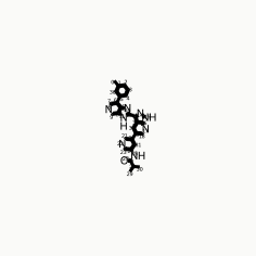 Cc1cccc(-c2cncc3[nH]c(-c4n[nH]c5ncc(-c6cncc(NC(=O)C(C)C)c6)cc45)nc23)c1